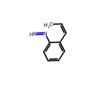 C/C=C\c1ccccc1N=N